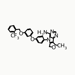 CC1OCc2c1c1ncnc(N)c1n2-c1ccc(Oc2cccc(OCc3ccccc3C(F)(F)F)c2)cc1